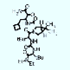 CCN(CC)C(=O)[C@@H](NC(=O)N[C@H](C(=O)N1C[C@H]2[C@@H]([C@H]1C(=O)NC(CC1CCC1)C(=O)C(N)=O)C2(C)C)C(C)(C)C)C(C)(C)C